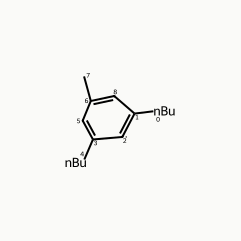 CCCCc1[c]c(CCCC)cc(C)c1